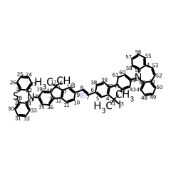 CC(C)(I)c1cc(/C=C/c2ccc3c(c2)C(C)(C)c2cc(N4c5ccccc5Sc5ccccc54)ccc2-3)ccc1C1C=CC(N2c3ccccc3C=Cc3ccccc32)=CC1